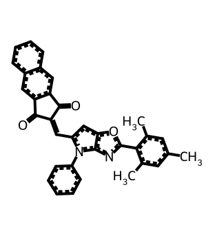 Cc1cc(C)c(-c2nc3c(cc(C=C4C(=O)c5cc6ccccc6cc5C4=O)n3-c3ccccc3)o2)c(C)c1